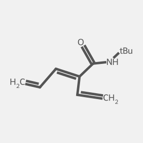 C=C/C=C(\C=C)C(=O)NC(C)(C)C